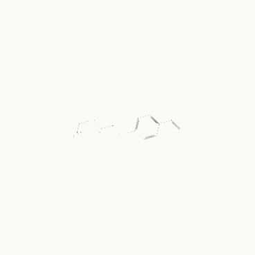 C=Cc1ccc(OCCOC(C)Cl)cc1